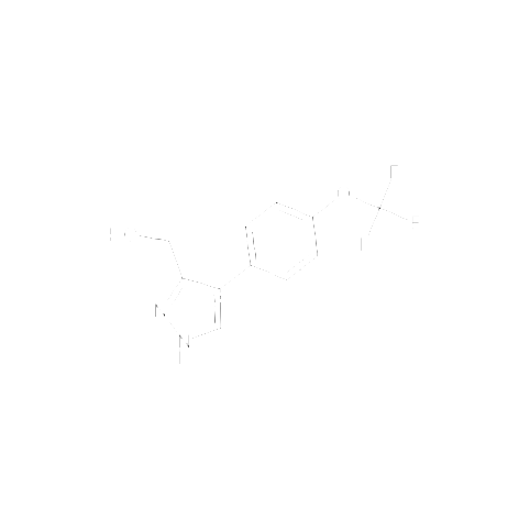 OCc1n[nH]cc1-c1ccc(OC(F)(F)F)cc1